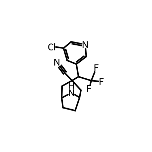 N#CC1(C(c2cncc(Cl)c2)C(F)(F)F)CC2CCC(C1)N2